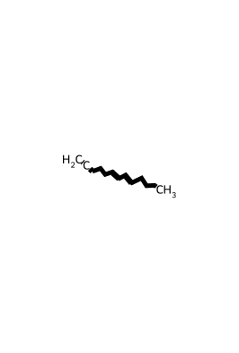 C=C=CCCC=CC=CCCCC